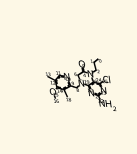 CCCN1C(=O)CN(Cc2ncc(C)c(OC)c2C)c2nc(N)nc(Cl)c21